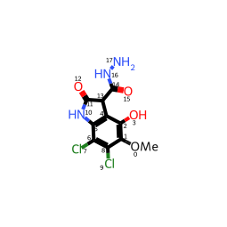 COc1c(O)c2c(c(Cl)c1Cl)NC(=O)C2C(=O)NN